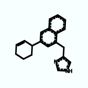 C1=CC(c2cc(Cc3c[nH]cn3)c3ccccc3c2)CCC1